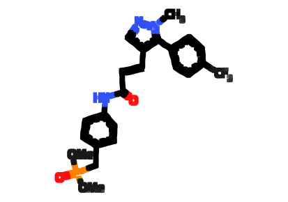 COP(=O)(Cc1ccc(NC(=O)/C=C/c2cnn(C)c2-c2ccc(C(F)(F)F)cc2)cc1)OC